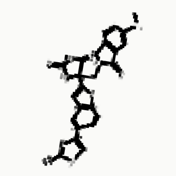 COc1ccc2c(c1)C(=O)N(C[C@@]1(c3cc4cc(-c5csc(N)n5)ccc4o3)NC(=O)NC1=O)C2